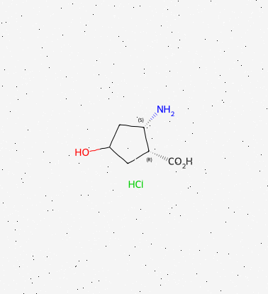 Cl.N[C@H]1CC(O)C[C@H]1C(=O)O